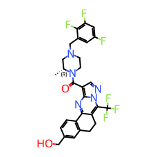 C[C@@H]1CN(Cc2cc(F)cc(F)c2F)CCN1C(=O)c1cnn2c(C(F)(F)F)c3c(nc12)-c1ccc(CO)cc1CC3